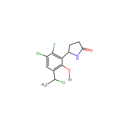 CCOc1c(C(C)Cl)cc(Cl)c(F)c1C1CCC(=O)N1